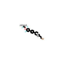 CCCCCCC[C@H](F)COc1c(F)cc(-c2ccc(C3CC[SiH](CCCCBr)CC3)cc2)cc1F